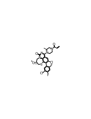 C=CC(=O)N1CCN(c2nc(=O)n3c4c(c(-c5cc(Cl)c(F)cc5F)c(Cl)cc24)SC[C@@H](OC)C3)[C@@H](C)C1